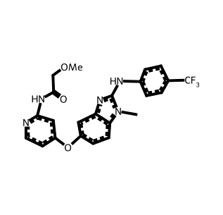 COCC(=O)Nc1cc(Oc2ccc3c(c2)nc(Nc2ccc(C(F)(F)F)cc2)n3C)ccn1